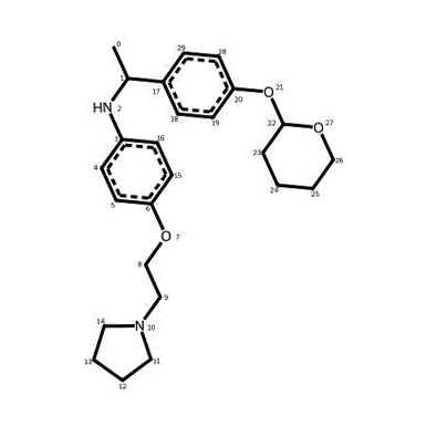 CC(Nc1ccc(OCCN2CCCC2)cc1)c1ccc(OC2CCCCO2)cc1